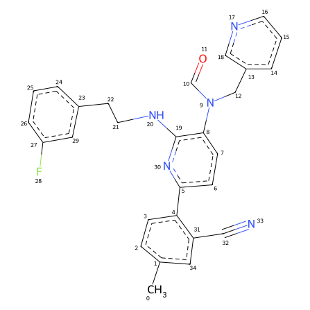 Cc1ccc(-c2ccc(N(C=O)Cc3cccnc3)c(NCCc3cccc(F)c3)n2)c(C#N)c1